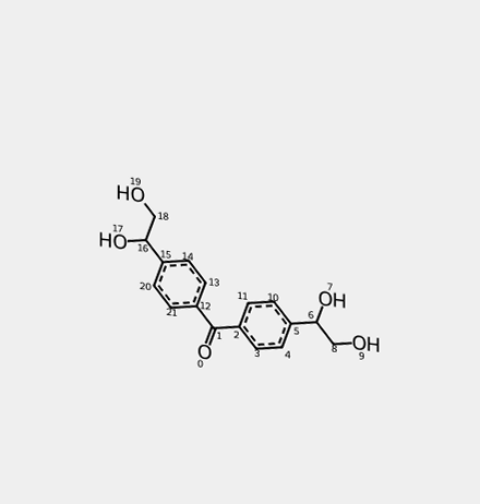 O=C(c1ccc(C(O)CO)cc1)c1ccc(C(O)CO)cc1